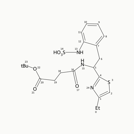 CCc1csc(C(Cc2ccccc2NS(=O)(=O)O)NC(=O)CCC(=O)OC(C)(C)C)n1